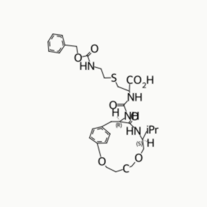 CC(C)[C@H]1COCCCCOc2ccc(cc2)C[C@@H](NC(=O)NC(CSCCNC(=O)OCc2ccccc2)C(=O)O)C(=O)N1